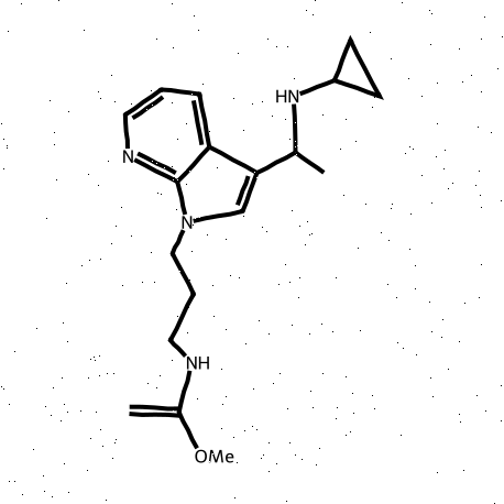 C=C(NCCCn1cc(C(C)NC2CC2)c2cccnc21)OC